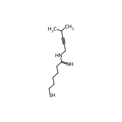 CC(C)C#CCNC(=N)CCCCCS